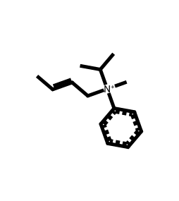 C/C=C/C[N+](C)(c1ccccc1)C(C)C